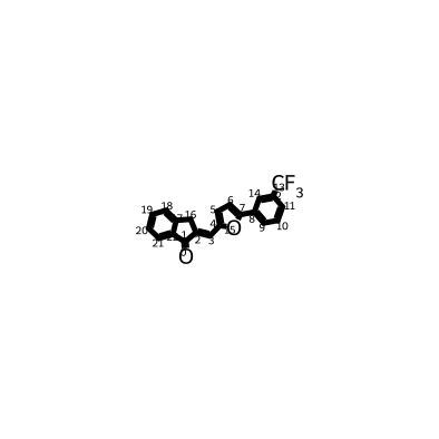 O=C1C(=Cc2ccc(-c3cccc(C(F)(F)F)c3)o2)Cc2ccccc21